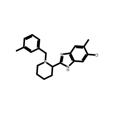 Cc1cccc(CN2CCCCC2c2nc3cc(C)c(Cl)cc3[nH]2)c1